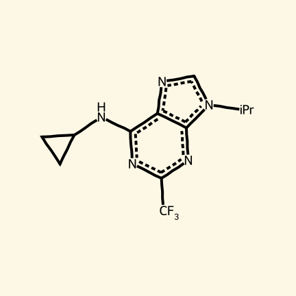 CC(C)n1cnc2c(NC3CC3)nc(C(F)(F)F)nc21